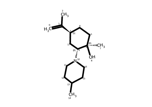 C=C(C)[C@H]1CC[C@@](C)(O)[C@H](N2CCC(C)CC2)C1